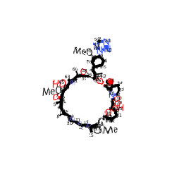 COC1C(=O)C(C)C[C@H](C)/C=C/C=C/C=C(\C)[C@@H](OC)C[C@@H]2CC[C@@H](C)[C@@](O)(O2)C(=O)C(=O)N2CCCC[C@H]2C(=O)O[C@H]([C@H](C)CC2CC[C@H](n3ncnn3)C(OC)C2)CC(=O)[C@H](C)/C=C(\C)[C@H]1O